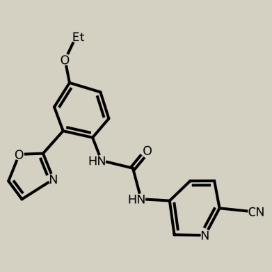 CCOc1ccc(NC(=O)Nc2ccc(C#N)nc2)c(-c2ncco2)c1